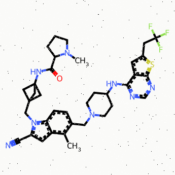 Cc1c(CN2CCC(Nc3ncnc4sc(CC(F)(F)F)cc34)CC2)ccc2c1cc(C#N)n2CC12CC(NC(=O)C3CCCN3C)(C1)C2